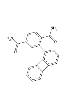 NC(=O)c1ccc(C(N)=O)c(-c2cccc3c2-c2ccccc2-3)c1